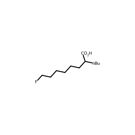 CCCCC(CCCCCCF)C(=O)O